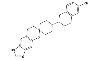 N#Cc1ccc2c(c1)CCC(N1CCC3(CCc4cc5[nH]cnc5cc4O3)CC1)C2